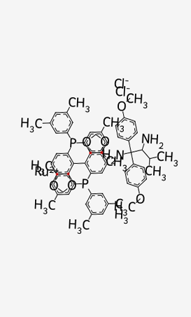 COc1ccc(C(N)(c2ccc(OC)cc2)C(N)C(C)C)cc1.Cc1cc(C)cc(P(c2cc(C)cc(C)c2)c2ccc3c(c2-c2c(P(c4cc(C)cc(C)c4)c4cc(C)cc(C)c4)ccc4c2OCO4)OCO3)c1.[Cl-].[Cl-].[Ru+2]